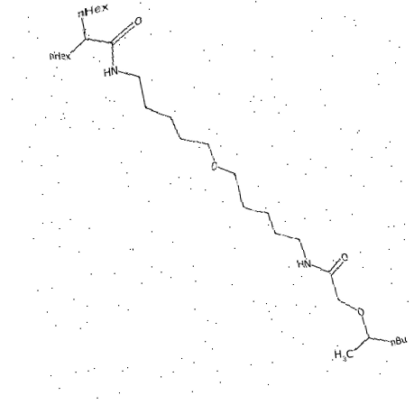 CCCCCCC(CCCCCC)C(=O)NCCCCCOCCCCCNC(=O)COC(C)CCCC